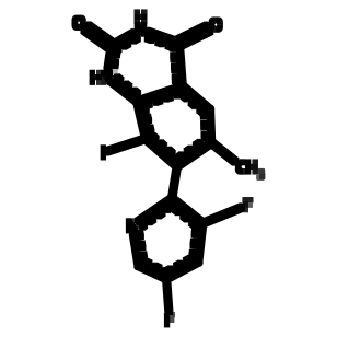 Cc1cc2c(=O)[nH]c(=O)[nH]c2c(I)c1-c1ncc(F)cc1F